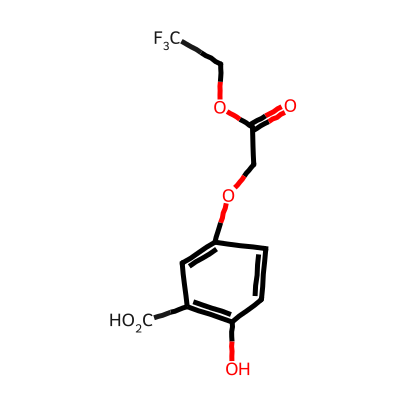 O=C(COc1ccc(O)c(C(=O)O)c1)OCC(F)(F)F